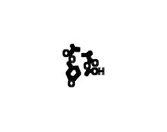 C=C(C)C(=O)OC(C)O.C=C(C)C(=O)OCC1CCC2OC2C1